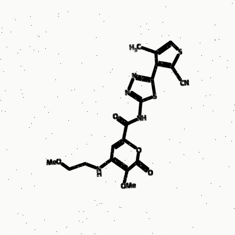 COCCNc1cc(C(=O)Nc2nnc(-c3c(C)csc3C#N)s2)oc(=O)c1OC